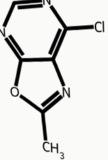 Cc1nc2c(Cl)ncnc2o1